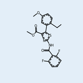 CCc1ccc(OC)cc1-c1sc(NC(=O)c2c(F)cccc2F)nc1C(=O)OC